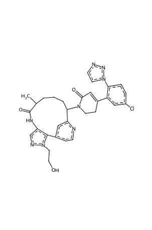 CC1CCCC(N2CCC(c3cc(Cl)ccc3-n3ccnn3)=CC2=O)c2cc(ccn2)-c2c(cnn2CCO)NC1=O